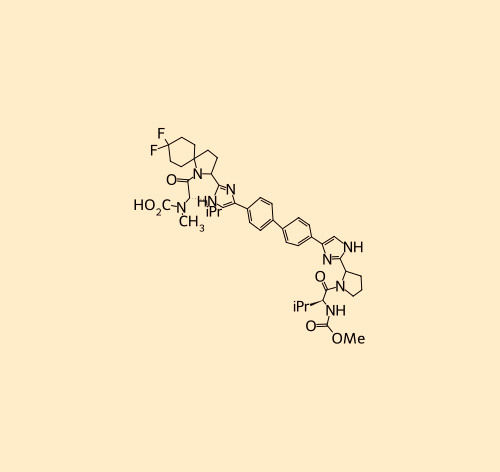 COC(=O)N[C@H](C(=O)N1CCCC1c1nc(-c2ccc(-c3ccc(-c4c[nH]c(C5CCC6(CCC(F)(F)CC6)N5C(=O)[C@H](CC(C)C)N(C)C(=O)O)n4)cc3)cc2)c[nH]1)C(C)C